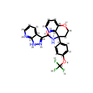 O=C(NC1(c2ccc(OC(F)(F)F)cc2)CCOc2cccnc21)c1n[nH]c2ncccc12